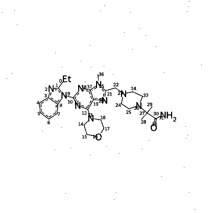 CCc1nc2ccccc2n1-c1nc(N2CCOCC2)c2nc(CN3CCN(C(C)(C)C(N)=O)CC3)n(C)c2n1